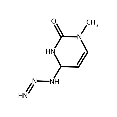 CN1C=CC(NN=N)NC1=O